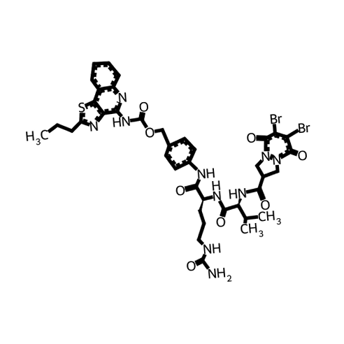 CCCc1nc2c(NC(=O)OCc3ccc(NC(=O)[C@H](CCCNC(N)=O)NC(=O)[C@@H](NC(=O)C4Cn5c(=O)c(Br)c(Br)c(=O)n5C4)C(C)C)cc3)nc3ccccc3c2s1